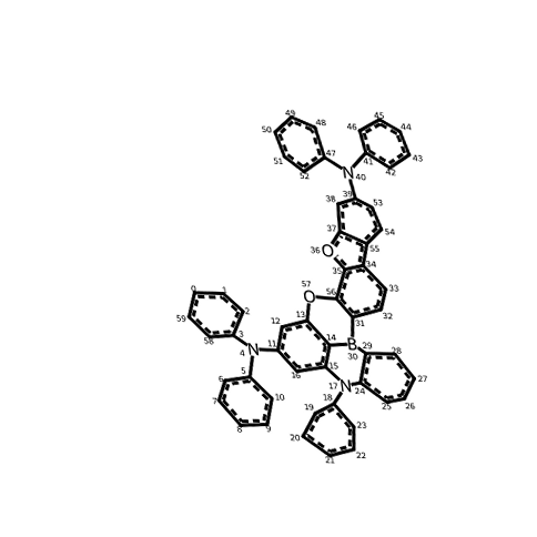 c1ccc(N(c2ccccc2)c2cc3c4c(c2)N(c2ccccc2)c2ccccc2B4c2ccc4c(oc5cc(N(c6ccccc6)c6ccccc6)ccc54)c2O3)cc1